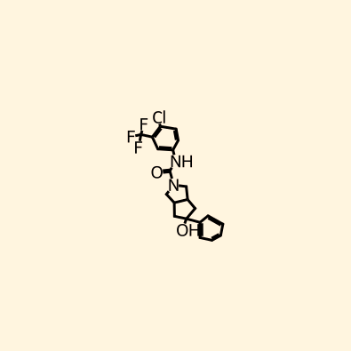 O=C(Nc1ccc(Cl)c(C(F)(F)F)c1)N1CC2CC(O)(c3ccccc3)CC2C1